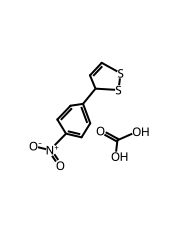 O=C(O)O.O=[N+]([O-])c1ccc(C2C=CSS2)cc1